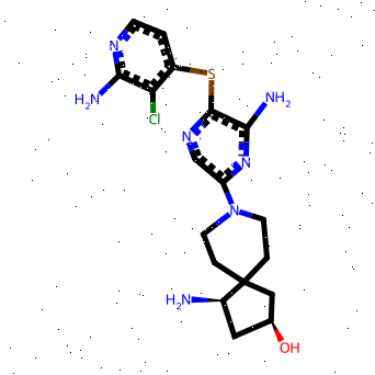 Nc1nc(N2CCC3(CC2)C[C@@H](O)C[C@H]3N)cnc1Sc1ccnc(N)c1Cl